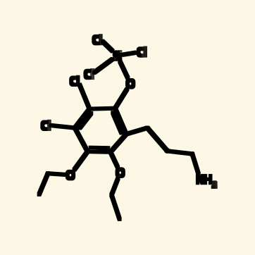 CCOc1c(Cl)c(Cl)c(O[Si](Cl)(Cl)Cl)c(CCCN)c1OCC